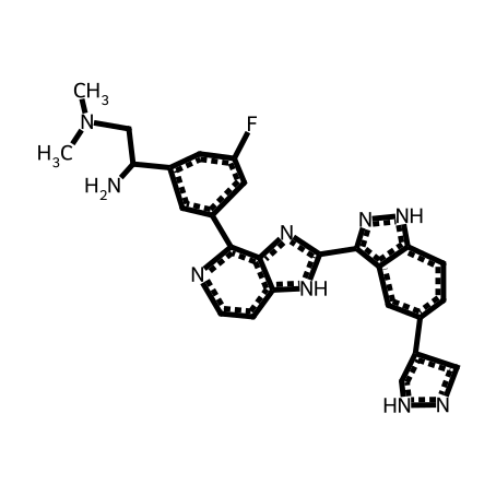 CN(C)CC(N)c1cc(F)cc(-c2nccc3[nH]c(-c4n[nH]c5ccc(-c6cn[nH]c6)cc45)nc23)c1